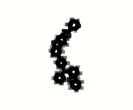 c1ccc(-c2nc3cc4oc5ccc(-c6ccc(N(c7ccccc7)c7cccc8c7oc7ccccc78)cc6)cc5c4cc3o2)cc1